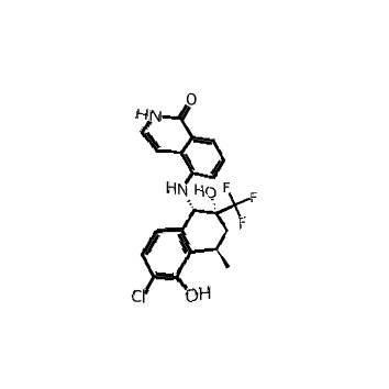 C[C@@H]1C[C@](O)(C(F)(F)F)[C@@H](Nc2cccc3c(=O)[nH]ccc23)c2ccc(Cl)c(O)c21